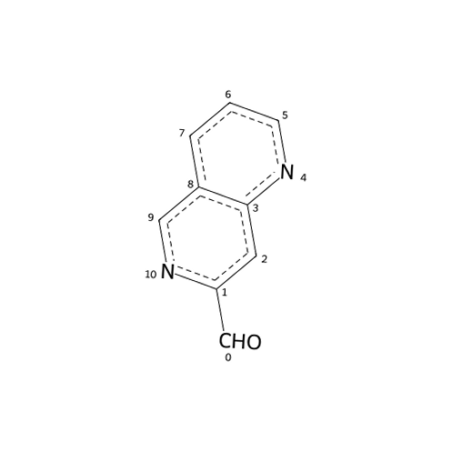 O=Cc1cc2ncccc2cn1